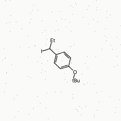 CCC(I)c1ccc(OC(C)(C)C)cc1